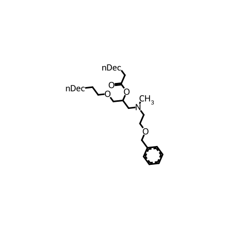 CCCCCCCCCCCCOCC(CN(C)CCOCc1ccccc1)OC(=O)CCCCCCCCCCC